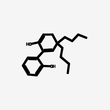 CCCCC1(CCCC)C=C(c2ccccc2O)C(O)=CC1